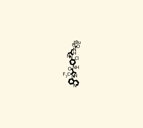 CC(C)(C)OC(=O)NCc1cnn(-c2ccc(NC(=O)c3cnn(-c4cccc5ncccc45)c3C(F)(F)F)cc2Cl)c1